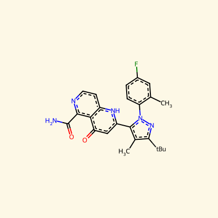 Cc1cc(F)ccc1-n1nc(C(C)(C)C)c(C)c1-c1cc(=O)c2c(C(N)=O)nccc2[nH]1